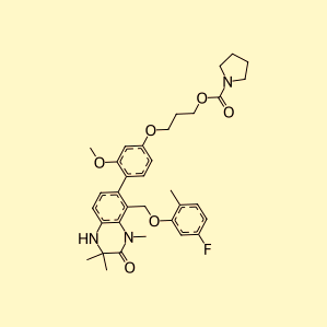 COc1cc(OCCCOC(=O)N2CCCC2)ccc1-c1ccc2c(c1COc1cc(F)ccc1C)N(C)C(=O)C(C)(C)N2